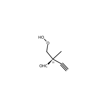 C#C[C@](C)(C=O)COO